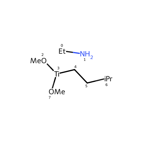 CCN.C[O][Ti]([CH2]CC(C)C)[O]C